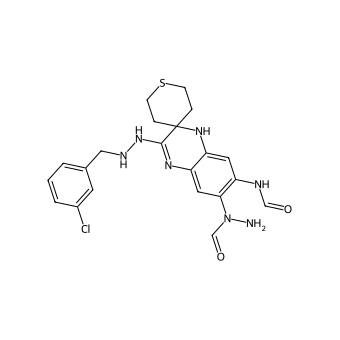 NN(C=O)c1cc2c(cc1NC=O)NC1(CCSCC1)C(NNCc1cccc(Cl)c1)=N2